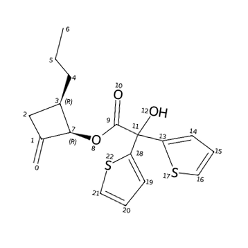 C=C1C[C@@H](CCC)[C@H]1OC(=O)C(O)(c1cccs1)c1cccs1